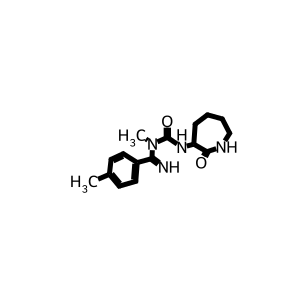 Cc1ccc(C(=N)N(C)C(=O)NC2CCCCNC2=O)cc1